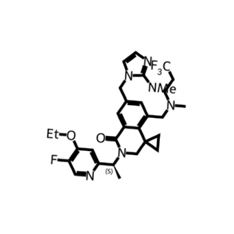 CCOc1cc([C@H](C)N2CC3(CC3)c3c(CN(C)CCC(F)(F)F)cc(Cn4ccnc4NC)cc3C2=O)ncc1F